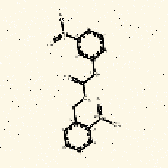 O=C(Nc1cccc([N+](=O)[O-])c1)OCc1ccccc1[N+](=O)[O-]